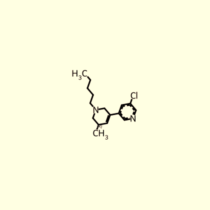 CCCCCN1CC(c2cncc(Cl)c2)=C[C@@H](C)C1